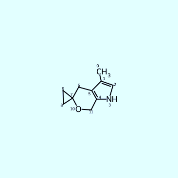 Cc1c[nH]c2c1CC1(CC1)OC2